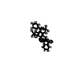 COc1c(CN2C(=O)c3ccccc3C2=O)c2c(c3c1OC(C)(C)C3)C(c1ccccc1)=NC(C)(C)C2